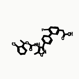 Cc1onc(-c2ccc(-c3cc(CC(=O)O)ccc3F)cc2)c1NC(=O)OC(C)c1ccccc1Cl